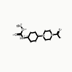 CC(=S)N1CCN(C2CCC(NC(=O)OC(C)(C)C)CC2)CC1